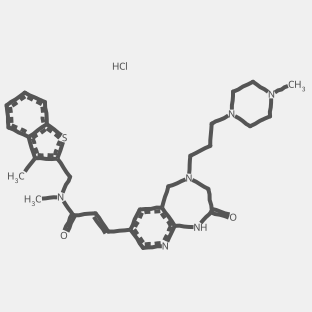 Cc1c(CN(C)C(=O)C=Cc2cnc3c(c2)CN(CCCN2CCN(C)CC2)CC(=O)N3)sc2ccccc12.Cl